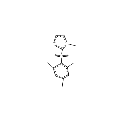 Cc1cc(C)c(S(=O)(=O)c2nccn2C)c(C)c1